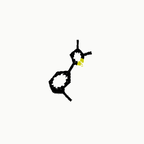 Cc1cccc(-c2cc(C)c(C)s2)c1